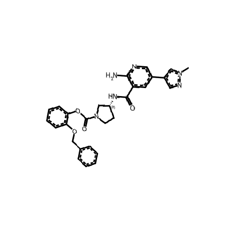 Cn1cc(-c2cnc(N)c(C(=O)N[C@@H]3CCN(C(=O)Oc4ccccc4OCc4ccccc4)C3)c2)cn1